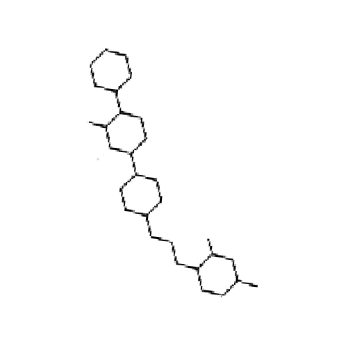 CC1CCC(CCCC2CCC(C3CCC(C4CCCCC4)C(F)[C@H]3F)CC2)C(F)C1